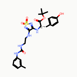 Cc1cccc(NC(=O)NCCNC2=NS(=O)(=O)N=C2N[C@@H](Cc2ccc(O)cc2)C(=O)OC(C)(C)C)c1